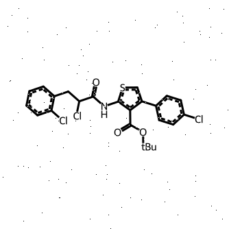 CC(C)(C)OC(=O)c1c(-c2ccc(Cl)cc2)csc1NC(=O)C(Cl)Cc1ccccc1Cl